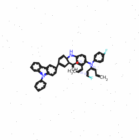 C=C/C=C(\C=C/F)N(c1ccc(F)cc1)c1ccc(NC2C=CC(c3ccc4c(c3)c3ccccc3n4-c3ccccc3)=CC2C(=C)/C=C\C=C/C)cc1